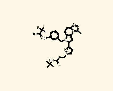 Cc1nnc2ccc3c(cc(-c4ccn(CCC(=O)NC(C)(C)C)n4)n3Cc3cccc(Cl)c3)n12.O=C(O)C(F)(F)F